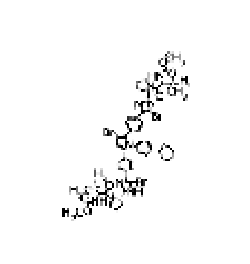 COC(=O)N[C@H](C(=O)N1CCC[C@H]1c1nc(-c2ccc(-c3cc(Br)c(-c4ccc(-c5nc([C@@H]6CCCN6C(=O)[C@@H](NC(=O)OC)C(C)C)[nH]c5Br)cc4)n3-c3ccc(C4CCCCC4)cc3)cc2)c(Br)[nH]1)C(C)C